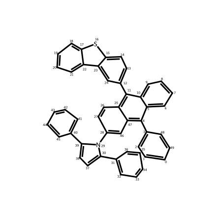 c1ccc(-c2c3ccccc3c(-c3ccc4sc5ccccc5c4c3)c3ccc(-n4c(-c5ccccc5)ccc4-c4ccccc4)cc23)cc1